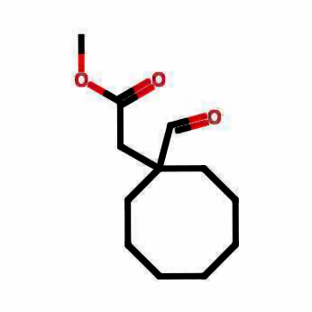 COC(=O)CC1(C=O)CCCCCCC1